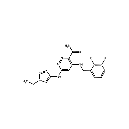 CCn1cc(Nc2cc(NCc3cccc(F)c3F)c(C(N)=O)nn2)cn1